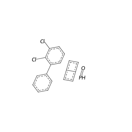 Clc1cccc(-c2ccccc2)c1Cl.O=P.c1cc2ccc1-2